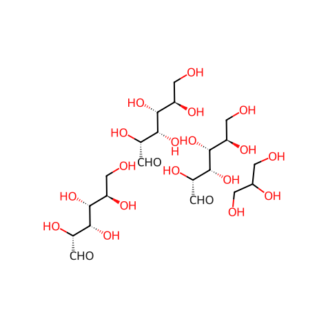 O=C[C@H](O)[C@@H](O)[C@H](O)[C@H](O)CO.O=C[C@H](O)[C@@H](O)[C@H](O)[C@H](O)CO.O=C[C@H](O)[C@@H](O)[C@H](O)[C@H](O)CO.OCC(O)CO